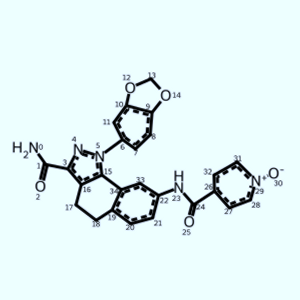 NC(=O)c1nn(-c2ccc3c(c2)OCO3)c2c1CCc1ccc(NC(=O)c3cc[n+]([O-])cc3)cc1-2